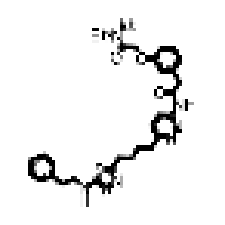 CCN(CC)C(=O)COc1cccc(CC(=O)Nc2ccc(CCCCc3nnc(NCCc4ccccc4)s3)nn2)c1